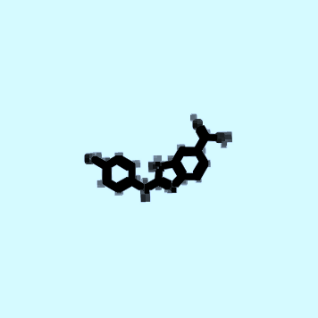 O=C(O)c1ccc2nc(Nc3ccc(Cl)cc3)[nH]c2c1